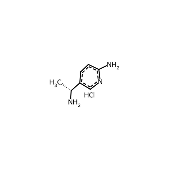 C[C@@H](N)c1ccc(N)nc1.Cl